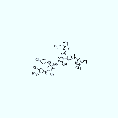 Cc1c(C#N)c(Nc2ccc(Cl)c(S(=O)(=O)O)c2)nc(Nc2ccc(Cl)cc2)c1N=Nc1sc(N=Nc2ccc3cccc(S(=O)(=O)O)c3c2)c(-c2ccc(Nc3nc(O)nc(O)n3)cc2)c1C#N